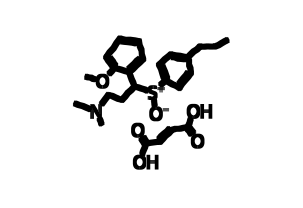 CCCc1ccc([S+]([O-])C(CCN(C)C)c2ccccc2OC)cc1.O=C(O)C=CC(=O)O